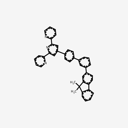 CC1(C)c2ccccc2-c2ccc(-c3cccc(-c4ccc(-c5cc(-c6ccccn6)nc(-c6ccccn6)c5)cc4)c3)cc21